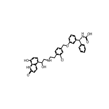 O=C(O)N[C@@H](c1ccccc1)c1cccc(OCc2ccc(CCNCC(O)c3ccc(O)c4[nH]c(=O)ccc34)c(Cl)c2)c1